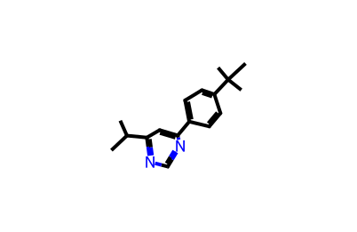 CC(C)c1cc(-c2ccc(C(C)(C)C)cc2)ncn1